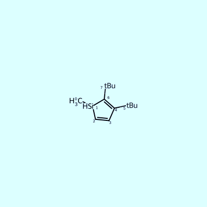 C[SiH]1C=CC(C(C)(C)C)=C1C(C)(C)C